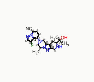 C[C@@H]1CN(c2ccc(C#N)n3ncc(F)c23)Cc2c3c(nn21)CNC(C(C)(C)O)C3